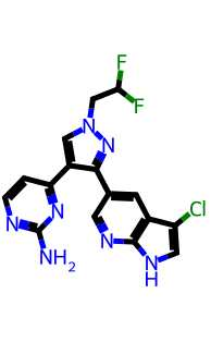 Nc1nccc(-c2cn(CC(F)F)nc2-c2cnc3[nH]cc(Cl)c3c2)n1